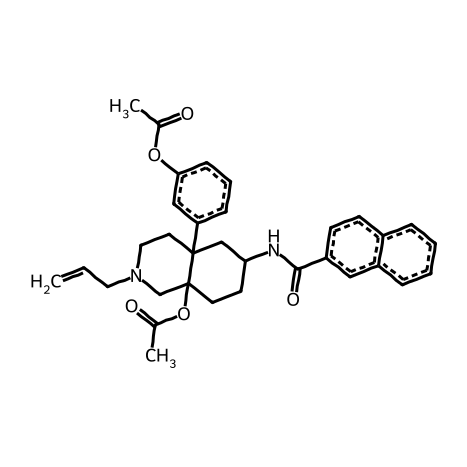 C=CCN1CCC2(c3cccc(OC(C)=O)c3)CC(NC(=O)c3ccc4ccccc4c3)CCC2(OC(C)=O)C1